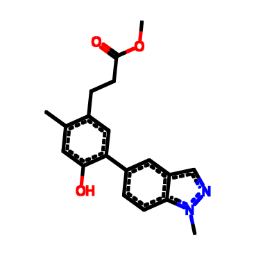 COC(=O)CCc1cc(-c2ccc3c(cnn3C)c2)c(O)cc1C